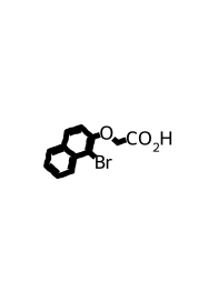 O=C(O)COc1ccc2ccccc2c1Br